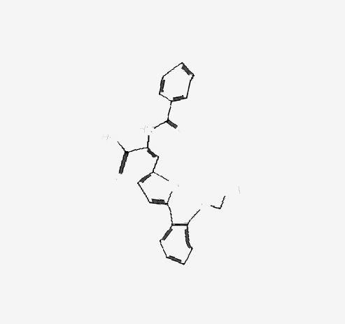 CCOc1ccccc1-c1ccc(/C=C(/NC(=O)c2ccccc2)C(=O)O)o1